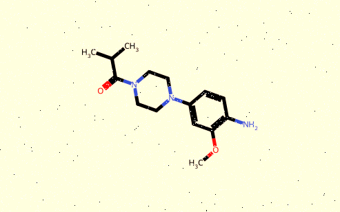 COc1cc(N2CCN(C(=O)C(C)C)CC2)ccc1N